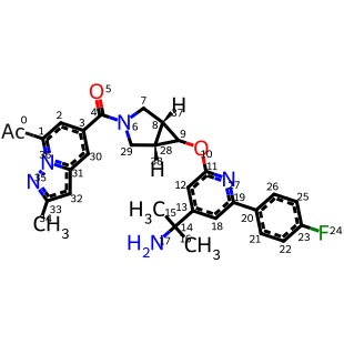 CC(=O)c1cc(C(=O)N2C[C@@H]3C(Oc4cc(C(C)(C)N)cc(-c5ccc(F)cc5)n4)[C@@H]3C2)cc2cc(C)nn12